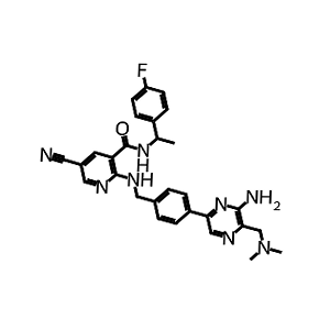 CC(NC(=O)c1cc(C#N)cnc1NCc1ccc(-c2cnc(CN(C)C)c(N)n2)cc1)c1ccc(F)cc1